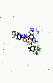 NCc1ccc(NC(=O)c2cccc(C(F)(F)F)c2)cc1NC(=O)c1ccc(CCl)cc1